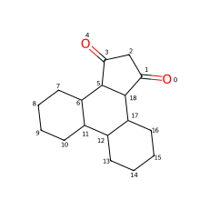 O=C1CC(=O)C2C3CCCCC3C3CCCCC3C12